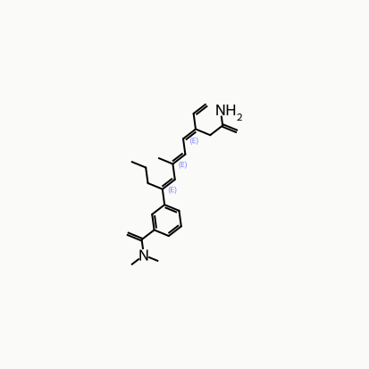 C=C/C(=C/C=C(C)/C=C(\CCC)c1cccc(C(=C)N(C)C)c1)CC(=C)N